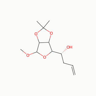 C=CC[C@@H](O)C1OC(OC)C2OC(C)(C)OC21